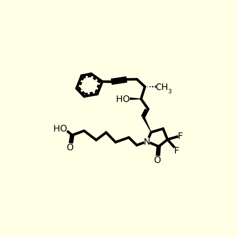 C[C@@H](CC#Cc1ccccc1)[C@H](O)C=C[C@H]1CC(F)(F)C(=O)N1CCCCCCC(=O)O